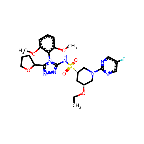 CCO[C@H]1C[C@H](S(=O)(=O)Nc2nnc(C3CCCO3)n2-c2c(OC)cccc2OC)CN(c2ncc(F)cn2)C1